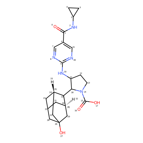 O=C(NC1CC1)c1cnc(NC2CCN(C(=O)O)C2C2[C@@H]3CC4C[C@H]2CC(O)(C4)C3)nc1